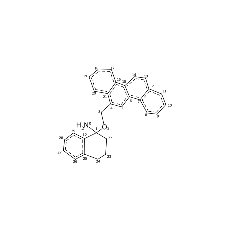 NC1(OCc2cc3c4ccccc4ccc3c3ccccc23)CCCc2ccccc21